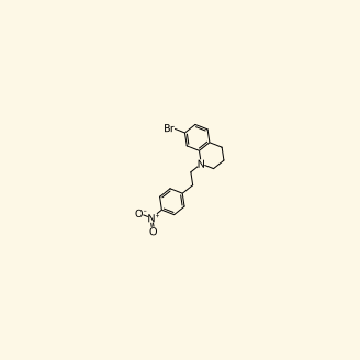 O=[N+]([O-])c1ccc(CCN2CCCc3ccc(Br)cc32)cc1